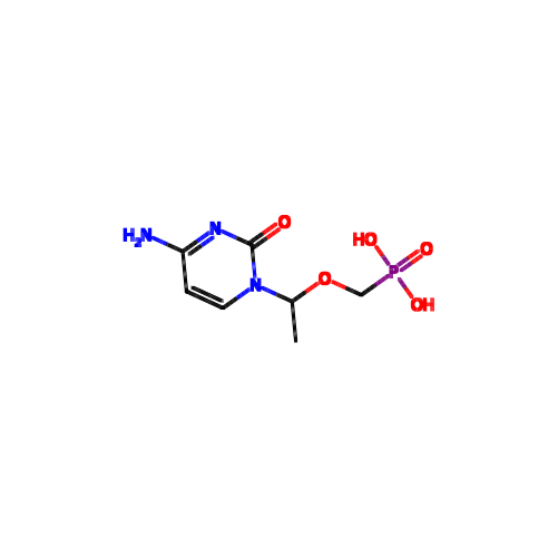 CC(OCP(=O)(O)O)n1ccc(N)nc1=O